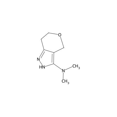 CN(C)c1[nH]nc2c1COCC2